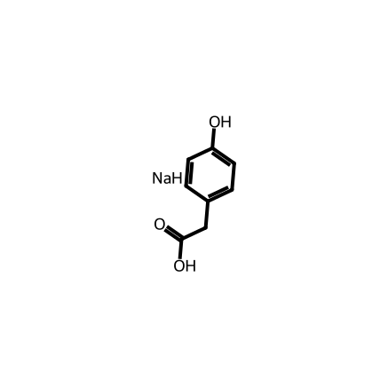 O=C(O)Cc1ccc(O)cc1.[NaH]